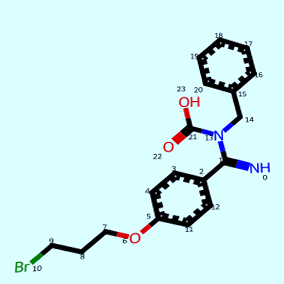 N=C(c1ccc(OCCCBr)cc1)N(Cc1ccccc1)C(=O)O